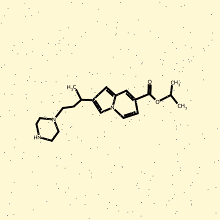 CC(C)OC(=O)c1ccn2cc(C(C)CCN3CCNCC3)cc2c1